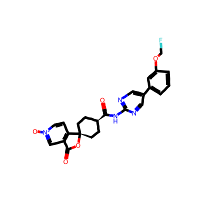 O=C1O[C@]2(CC[C@H](C(=O)Nc3ncc(-c4cccc(OCF)c4)cn3)CC2)c2cc[n+]([O-])cc21